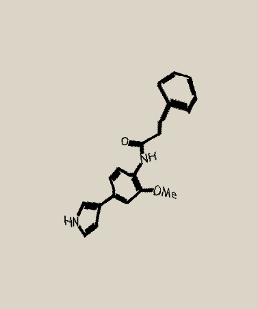 COc1cc(-c2cc[nH]c2)ccc1NC(=O)CCc1ccccc1